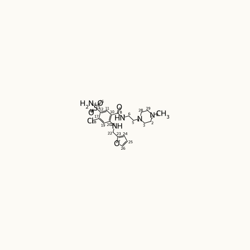 CN1CCN(CCNC(=O)c2cc(S(N)(=O)=O)c(Cl)cc2NCc2ccco2)CC1